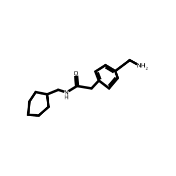 NCc1ccc(CC(=O)NCC2CCCCC2)cc1